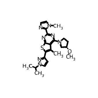 CO[C@@H]1CCN(c2nc(-c3nccn3C)nc3sc(-c4ccn(C(C)C)n4)c(C)c23)C1